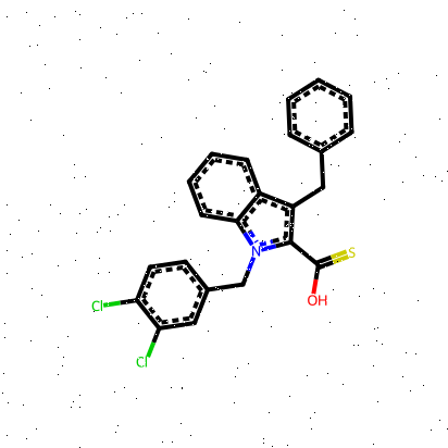 OC(=S)c1c(Cc2ccccc2)c2ccccc2n1Cc1ccc(Cl)c(Cl)c1